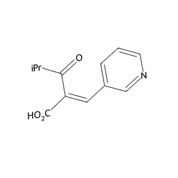 CC(C)C(=O)C(=Cc1cccnc1)C(=O)O